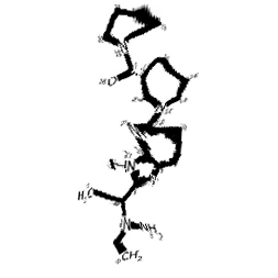 C=CN(N)C(C)c1nc2ccc(N3CCC[C@@H](C(=O)N4CCCC4)C3)nc2[nH]1